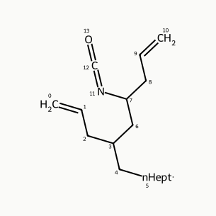 C=CCC(C[CH]CCCCCC)CC(CC=C)N=C=O